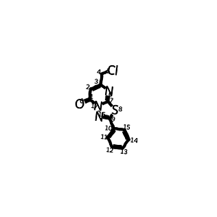 O=c1cc(CCl)nc2sc(-c3ccccc3)nn12